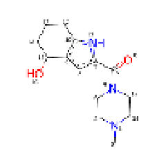 CN1CCN(C(=O)c2cc3c([nH]2)CCCC3O)CC1